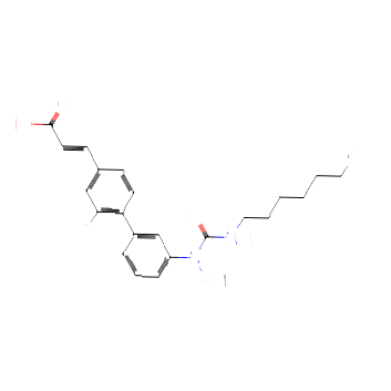 CCCCCCCNC(=O)N(C)c1cccc(-c2ccc(/C=C/C(=O)O)cc2F)c1